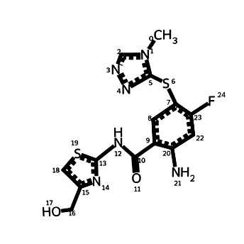 Cn1cnnc1Sc1cc(C(=O)Nc2nc(CO)cs2)c(N)cc1F